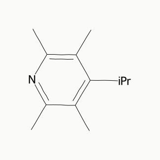 Cc1nc(C)c(C)c(C(C)C)c1C